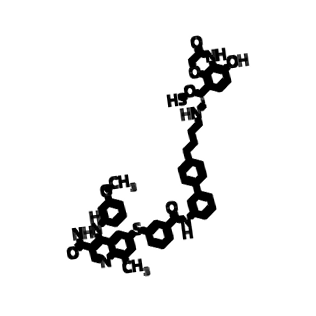 COc1cccc(Nc2c(C(N)=O)cnc3c(C)cc(Sc4cccc(C(=O)Nc5cccc(-c6ccc(CCCCNC[C@H](OS)c7ccc(O)c8c7OCC(=O)N8)cc6)c5)c4)cc23)c1